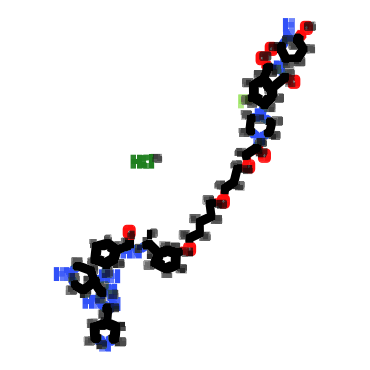 C[C@@H](NC(=O)c1cccc(NC2(c3nnc(-c4ccncc4)[nH]3)CCNCC2)c1)c1cccc(OCCCCCOCCCOCC(=O)N2CCN(c3cc4c(cc3F)C(=O)N(C3CCC(=O)NC3=O)C4=O)CC2)c1.Cl